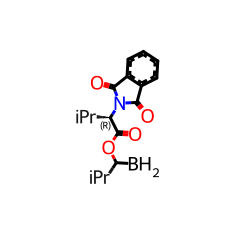 BC(OC(=O)[C@@H](C(C)C)N1C(=O)c2ccccc2C1=O)C(C)C